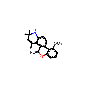 COc1cccc2c1-c1ccc3c(c1C(C#N)O2)C(C)=CC(C)(C)N3